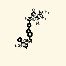 COC(=O)N[C@H](C(=O)N1CC(=O)C[C@H]1c1nc(-c2ccc(-c3ccc4cc(-c5cnc([C@@H]6CCCN6C(=O)[C@@H](c6ccccc6)N(C)C)[nH]5)ccc4c3)cc2)c[nH]1)C(C)C